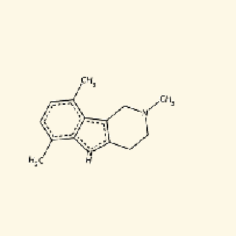 Cc1ccc(C)c2c3c([nH]c12)CCN(C)C3